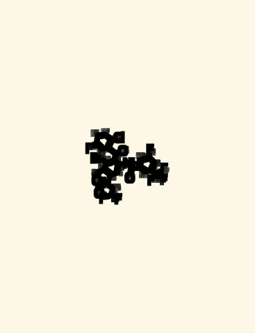 O=C(Nc1cc2c(c(Br)c1C(=O)c1cc(F)ccc1Cl)COC(=O)N2CC(F)F)c1cc(F)cc(C(F)(F)F)c1